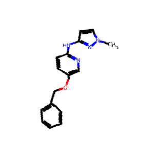 Cn1ccc(Nc2ccc(OCc3ccccc3)cn2)n1